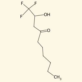 CCCCCCC(=O)CC(O)C(F)(F)F